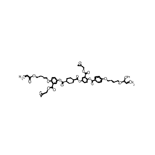 C=CC(=O)OCCCCOc1ccc(OC(=O)C2CCC(C(=O)Oc3ccc(OC(=O)c4ccc(OCCCCOC(O)C=C)cc4)c(C(=O)OCC4CO4)c3)CC2)cc1C(=O)OCC1CO1